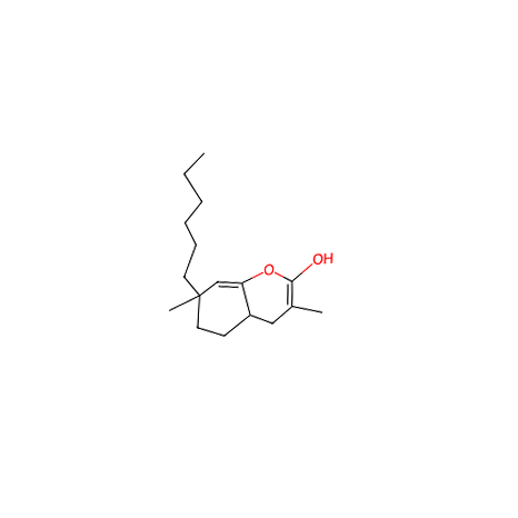 CCCCCCC1(C)C=C2OC(O)=C(C)CC2CC1